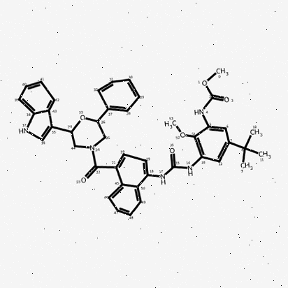 COC(=O)Nc1cc(C(C)(C)C)cc(NC(=O)Nc2ccc(C(=O)N3CC(c4ccccc4)OC(c4c[nH]c5ccccc45)C3)c3ccccc23)c1OC